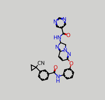 N#CC1(c2cccc(C(=O)Nc3cccc(OC4=NN5CC(NC(=O)c6cncnc6)N=C5C=C4)c3)c2)CC1